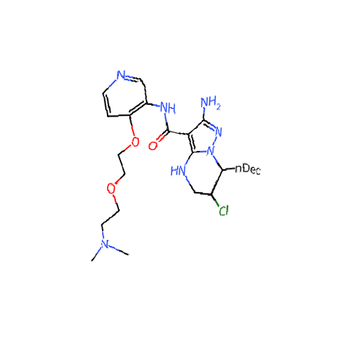 CCCCCCCCCCC1C(Cl)CNc2c(C(=O)Nc3cnccc3OCCOCCN(C)C)c(N)nn21